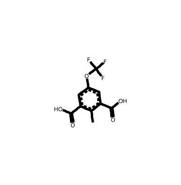 Cc1c(C(=O)O)cc(OC(F)(F)F)cc1C(=O)O